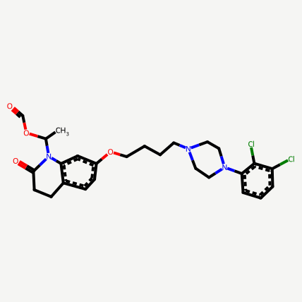 CC(OC=O)N1C(=O)CCc2ccc(OCCCCN3CCN(c4cccc(Cl)c4Cl)CC3)cc21